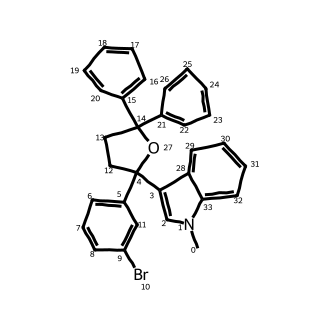 Cn1cc(C2(c3cccc(Br)c3)CCC(c3ccccc3)(c3ccccc3)O2)c2ccccc21